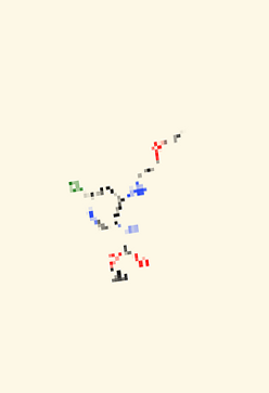 CC([3CH3])([3CH3])OC(=O)Nc1cnc(Cl)cc1NCCOCC[3CH3]